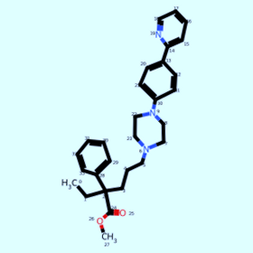 CCC(CCCN1CCN(c2ccc(-c3ccccn3)cc2)CC1)(C(=O)OC)c1ccccc1